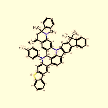 C=C1CC(C)(c2ccccc2)N(C)c2cc3c(cc21)B1c2c(ccc4c5cc6c(cc5n-3c24)C(C)(C)c2ccccc2-6)-c2cc3c(cc2N1c1ccc(C(C)(C)C)cc1)sc1ccccc13